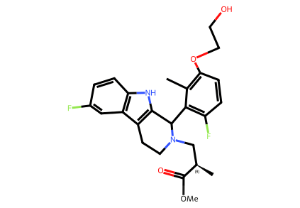 COC(=O)[C@H](C)CN1CCc2c([nH]c3ccc(F)cc23)C1c1c(F)ccc(OCCO)c1C